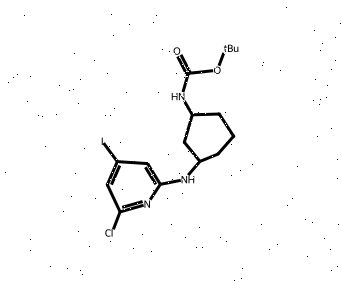 CC(C)(C)OC(=O)NC1CCCC(Nc2cc(I)cc(Cl)n2)C1